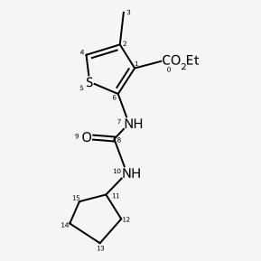 CCOC(=O)c1c(C)csc1NC(=O)NC1CCCC1